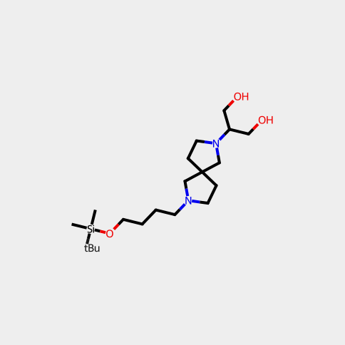 CC(C)(C)[Si](C)(C)OCCCCN1CCC2(CCN(C(CO)CO)C2)C1